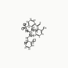 C=C(c1ccccc1F)c1cccc2c1NC(NCc1ncccc1Cl)=NS2(=O)=O